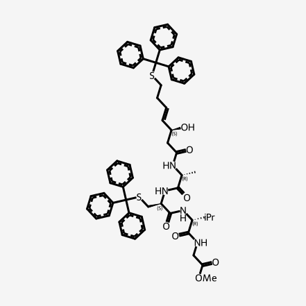 COC(=O)CNC(=O)[C@H](NC(=O)[C@@H](CSC(c1ccccc1)(c1ccccc1)c1ccccc1)NC(=O)[C@@H](C)NC(=O)C[C@H](O)C=CCCSC(c1ccccc1)(c1ccccc1)c1ccccc1)C(C)C